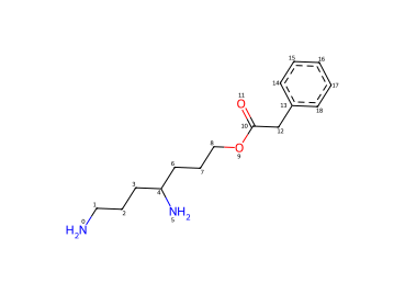 NCCCC(N)CCCOC(=O)Cc1ccccc1